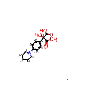 O=C(O)C(O)(C(=O)O)c1ccc(N2CCCCC2)cc1